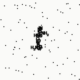 Cc1ncc2c(N)c(C(=O)NC3CCc4nc(N5CC(N)C6(C5)OC(C)(C)C(C)(C)O6)ccc4C3)sc2n1